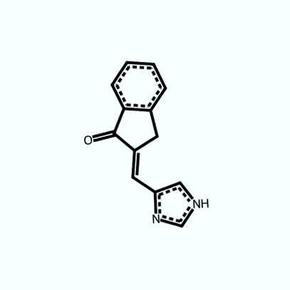 O=C1/C(=C/c2c[nH]cn2)Cc2ccccc21